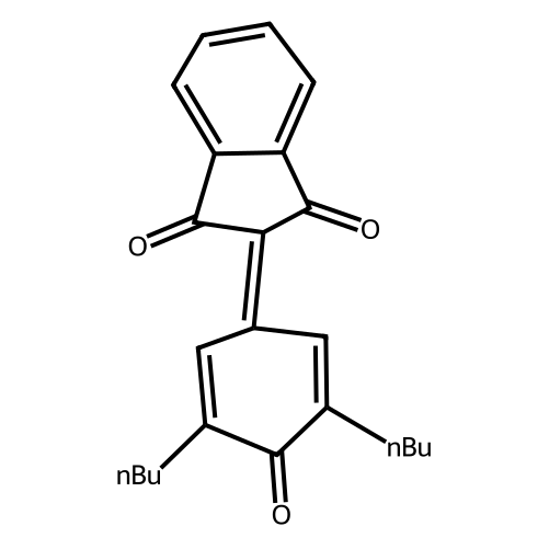 CCCCC1=CC(=C2C(=O)c3ccccc3C2=O)C=C(CCCC)C1=O